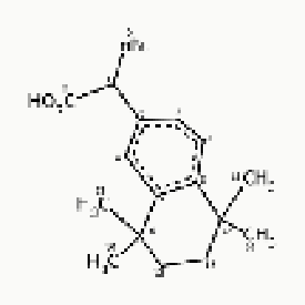 CCCCC(C(=O)O)c1ccc2c(c1)C(C)(C)CCC2(C)C